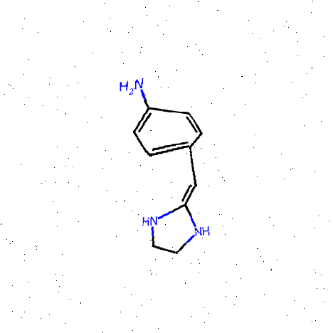 Nc1ccc(C=C2NCCN2)cc1